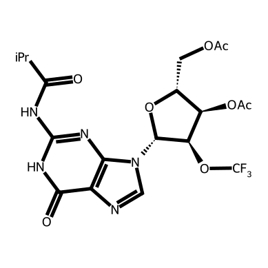 CC(=O)OC[C@H]1O[C@@H](n2cnc3c(=O)[nH]c(NC(=O)C(C)C)nc32)[C@H](OC(F)(F)F)[C@@H]1OC(C)=O